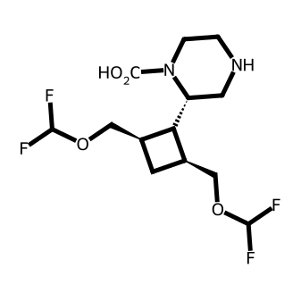 O=C(O)N1CCNC[C@@H]1C1[C@H](COC(F)F)C[C@@H]1COC(F)F